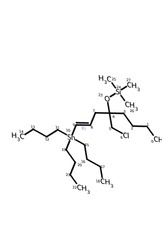 CCCCC(CCl)(C/C=[CH]/[Sn]([CH2]CCC)([CH2]CCC)[CH2]CCC)O[Si](C)(C)C